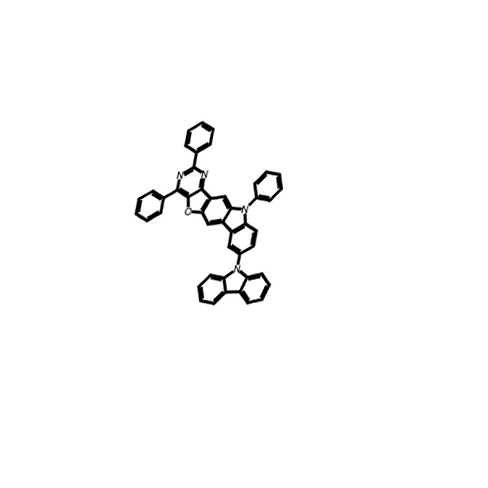 c1ccc(-c2nc(-c3ccccc3)c3oc4cc5c6cc(-n7c8ccccc8c8ccccc87)ccc6n(-c6ccccc6)c5cc4c3n2)cc1